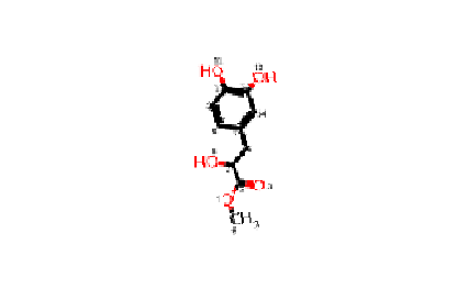 COC(=O)C(O)Cc1ccc(O)c(O)c1